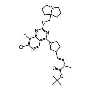 CN(/C=C/C1CCN(c2nc(OCC34CCCN3CCC4)nc3c(F)c(Cl)ncc23)C1)C(=O)OC(C)(C)C